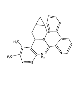 Cc1c(C(F)(F)F)cnc(N)c1C1CC2CC2CN1C(=O)c1ncccc1-c1ncccn1